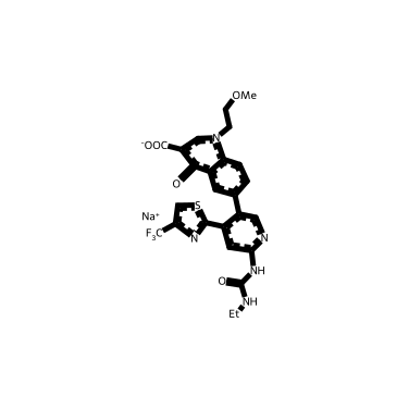 CCNC(=O)Nc1cc(-c2nc(C(F)(F)F)cs2)c(-c2ccc3c(c2)c(=O)c(C(=O)[O-])cn3CCOC)cn1.[Na+]